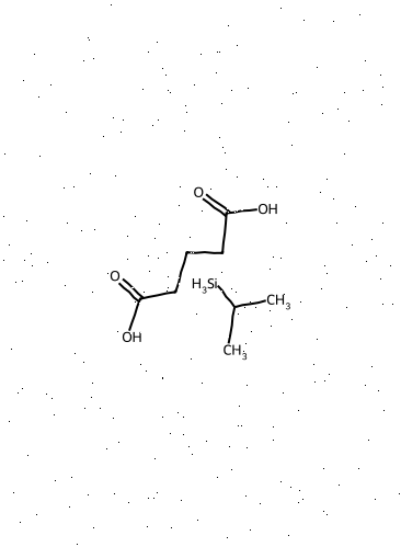 CC(C)[SiH3].O=C(O)CCCC(=O)O